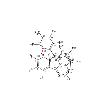 CC12C(=C(F)C(F)=C(F)C1F)/C(c1c(F)c(F)c(F)c(F)c1F)=C/C(F)=C\C=C/C=C/2c1c(F)c(F)c(C(F)(F)F)c(F)c1F